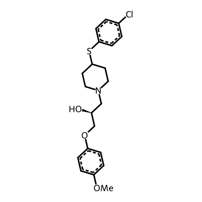 COc1ccc(OC[C@@H](O)CN2CCC(Sc3ccc(Cl)cc3)CC2)cc1